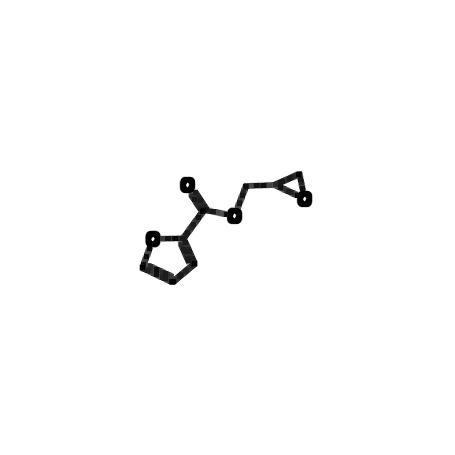 O=C(OCC1CO1)c1ccco1